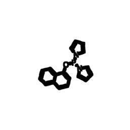 c1ccc2c(OP(n3cccc3)n3cccc3)cccc2c1